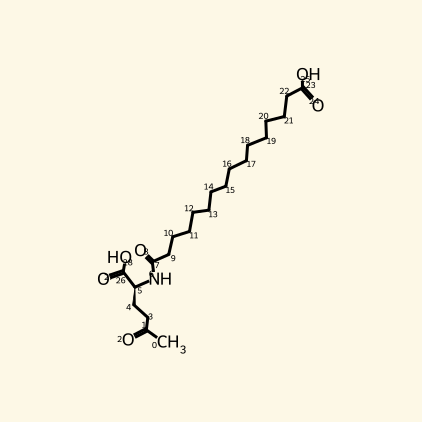 CC(=O)CC[C@H](NC(=O)CCCCCCCCCCCCCCC(=O)O)C(=O)O